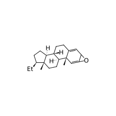 CC[C@H]1CC[C@H]2[C@@H]3CCC4=CC5OC5=C[C@]4(C)[C@H]3CC[C@]12C